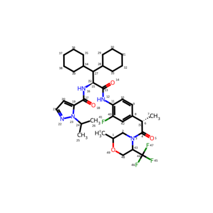 CC1CN(C(=O)[C@@H](C)c2ccc(NC(=O)[C@@H](NC(=O)c3ccnn3C(C)C)C(C3CCCCC3)C3CCCCC3)c(F)c2)C(C(F)(F)F)CO1